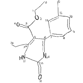 CCOC(=O)c1c(-c2cccc(C)c2)nc(=O)[nH]c1C